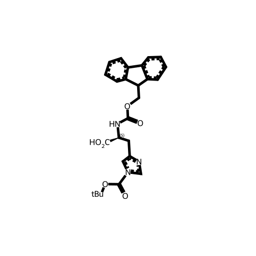 CC(C)(C)OC(=O)n1cnc(C[C@H](NC(=O)OCC2c3ccccc3-c3ccccc32)C(=O)O)c1